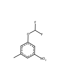 Cc1cc(OC(F)F)cc([N+](=O)[O-])c1